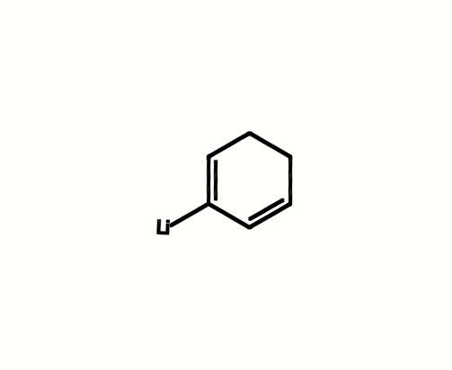 [Li][C]1=CCCC=C1